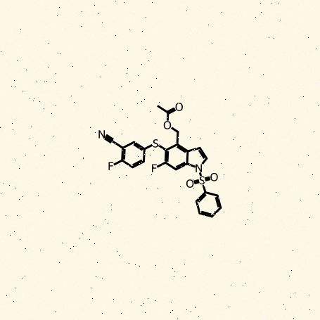 CC(=O)OCc1c(Sc2ccc(F)c(C#N)c2)c(F)cc2c1ccn2S(=O)(=O)c1ccccc1